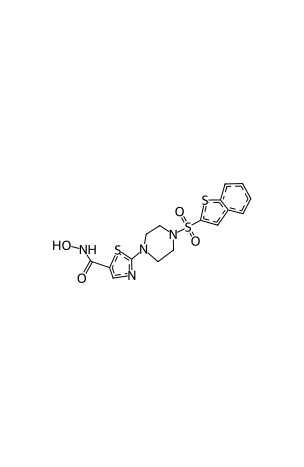 O=C(NO)c1cnc(N2CCN(S(=O)(=O)c3cc4ccccc4s3)CC2)s1